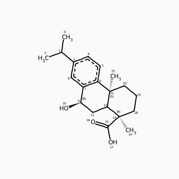 CC(C)c1ccc2c(c1)[C@H](O)CC1[C@](C)(C(=O)O)CCC[C@]21C